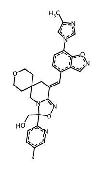 Cc1cn(-c2ccc(/C=C3\CC4(CCOCC4)CN4C3=NOC4(CO)c3ccc(F)cn3)c3cnoc23)cn1